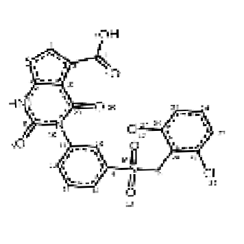 O=C(O)c1csc2[nH]c(=O)n(-c3cccc(S(=O)(=O)Cc4c(Cl)cccc4Cl)c3)c(=O)c12